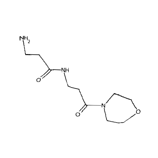 NCCC(=O)NCCC(=O)N1CCOCC1